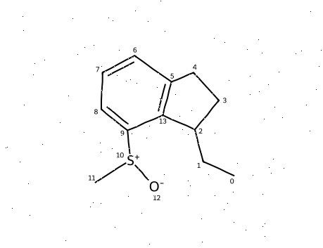 CCC1CCc2cccc([S+](C)[O-])c21